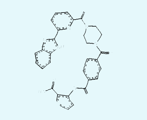 NC(=O)c1sccc1NC(=O)c1ccc(C(=O)N2CCN(C(=O)c3cccc(-c4nc5ccccc5[nH]4)n3)CC2)cc1